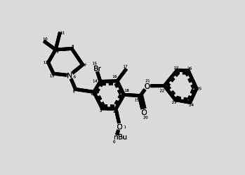 CCCCOc1cc(CN2CCC(C)(C)CC2)c(Br)c(C)c1C(=O)Oc1ccccc1